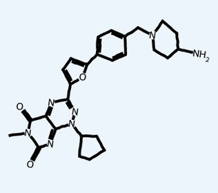 Cn1c(=O)nc2n(C3CCCC3)nc(-c3ccc(-c4ccc(CN5CCC(N)CC5)cc4)o3)nc-2c1=O